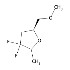 COC[C@@H]1CC(F)(F)C(C)O1